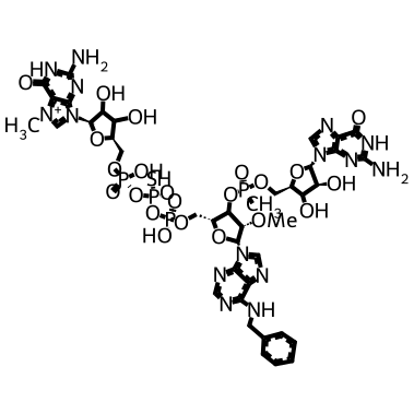 CO[C@H]1C(OP(C)(=O)OC[C@H]2O[C@@H](n3cnc4c(=O)[nH]c(N)nc43)[C@@H](O)C2O)[C@@H](COP(=O)(O)OP(=O)(S)OP(=O)(O)OC[C@H]2O[C@@H](n3c[n+](C)c4c(=O)[nH]c(N)nc43)C(O)C2O)O[C@H]1n1cnc2c(NCc3ccccc3)ncnc21